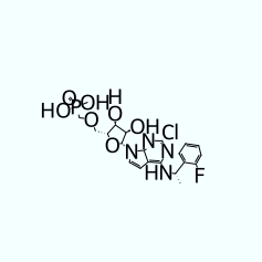 C[C@H](Nc1nc(Cl)nc2c1ccn2[C@@H]1O[C@H](COCP(=O)(O)O)[C@@H](O)[C@H]1O)c1ccccc1F